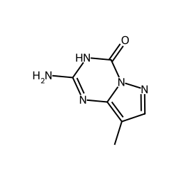 Cc1cnn2c(=O)[nH]c(N)nc12